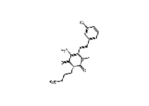 CC(=O)OCCCn1c(=O)c([N+](=O)[O-])c(/C=C/c2cccc(Cl)c2)n(C)c1=O